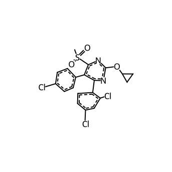 CS(=O)(=O)c1nc(OC2CC2)nc(-c2ccc(Cl)cc2Cl)c1-c1ccc(Cl)cc1